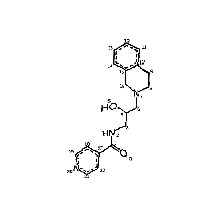 O=C(NCC(O)CN1CCc2ccccc2C1)c1ccncc1